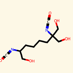 O=C=NC(CO)CCCCC(CO)(CO)N=C=O